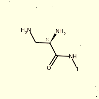 NC[C@@H](N)C(=O)NI